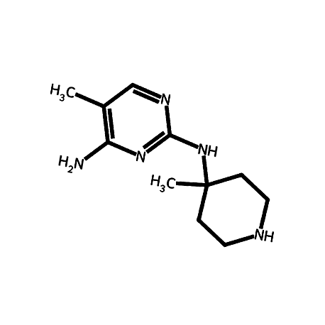 Cc1cnc(NC2(C)CCNCC2)nc1N